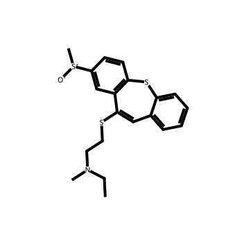 CCN(C)CCSC1=Cc2ccccc2Sc2ccc([S+](C)[O-])cc21